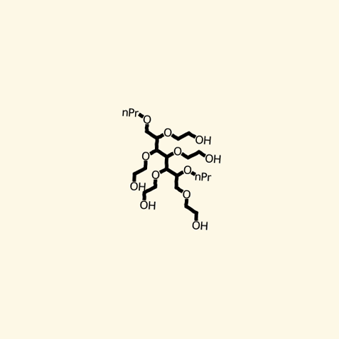 CCCOCC(OCCO)C(OCCO)C(OCCO)C(OCCO)C(COCCO)OCCC